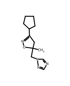 CC1(Cn2cncn2)CC(C2CCCC2)=NO1